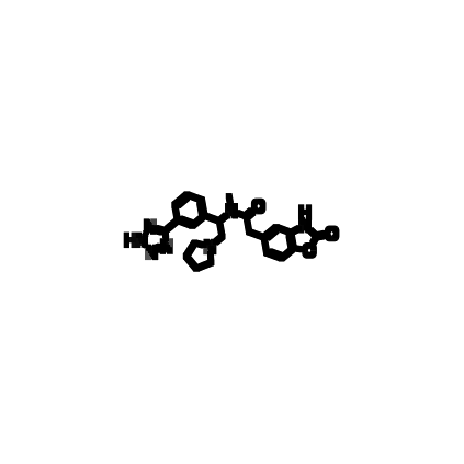 CN(C(=O)Cc1ccc2oc(=O)[nH]c2c1)C(CN1CCCC1)c1cccc(-c2nn[nH]n2)c1